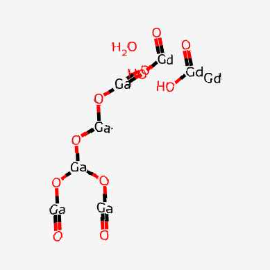 O.[Gd].[O]=[Ga][O][Ga][O][Ga]([O][Ga]=[O])[O][Ga]=[O].[O]=[Gd][OH].[O]=[Gd][OH]